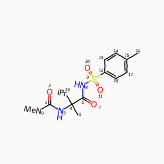 CNC(=O)NC(C)(C(=O)NS(=O)(=O)c1ccc(C)cc1)C(C)C